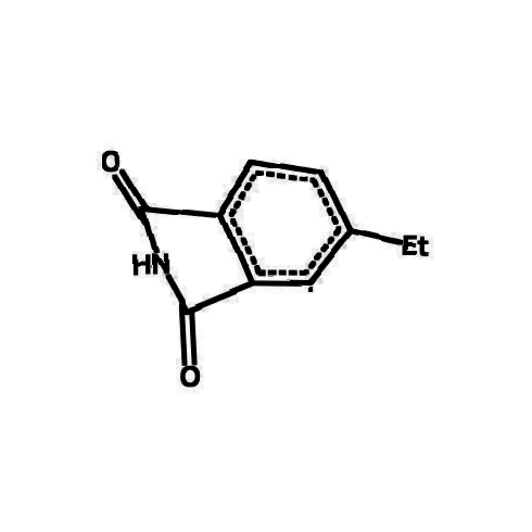 CCc1[c]c2c(cc1)C(=O)NC2=O